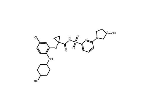 CC(C)(C)C1CCC(Nc2ccc(Cl)cc2OC2(C(=O)NS(=O)(=O)c3cccc(N4CC[C@H](O)C4)n3)CC2)CC1